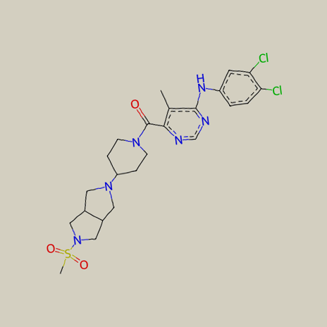 Cc1c(Nc2ccc(Cl)c(Cl)c2)ncnc1C(=O)N1CCC(N2CC3CN(S(C)(=O)=O)CC3C2)CC1